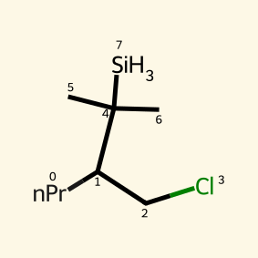 CCCC(CCl)C(C)(C)[SiH3]